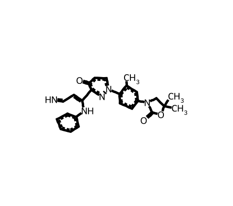 Cc1cc(N2CC(C)(C)OC2=O)ccc1-n1ccc(=O)c(/C(=C/C=N)Nc2ccccc2)n1